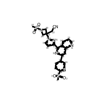 CS(=O)(=O)c1ccc(-c2cc3ncccc3c(-c3ccn(C4(CC#N)CN(S(C)(=O)=O)C4)n3)n2)cn1